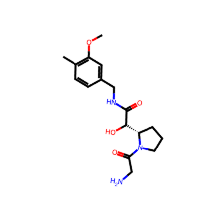 COc1cc(CNC(=O)C(O)[C@@H]2CCCN2C(=O)CN)ccc1C